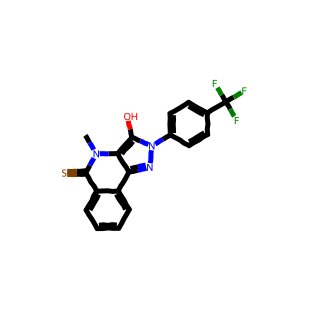 Cn1c(=S)c2ccccc2c2nn(-c3ccc(C(F)(F)F)cc3)c(O)c21